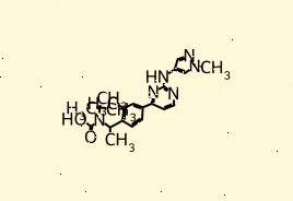 Cc1cc(-c2ccnc(Nc3cnn(C)c3)n2)ccc1C(C)N(C(=O)O)C(C)(C)C